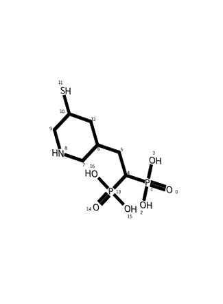 O=P(O)(O)C(CC1CNCC(S)C1)P(=O)(O)O